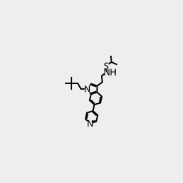 CC(C)SNCCc1cn(CCC(C)(C)C)c2cc(-c3ccncc3)ccc12